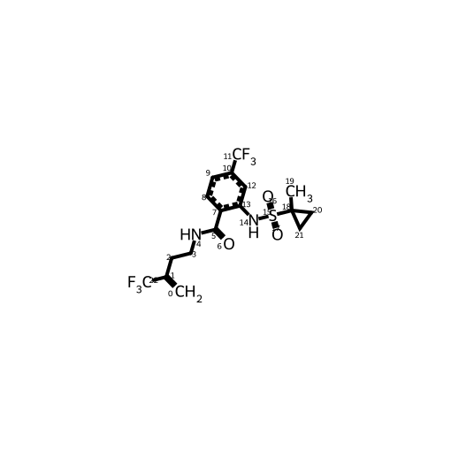 C=C(CCNC(=O)c1ccc(C(F)(F)F)cc1NS(=O)(=O)C1(C)CC1)C(F)(F)F